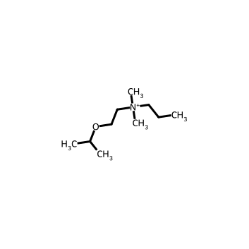 CCC[N+](C)(C)CCOC(C)C